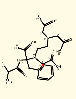 CC(Cl)C(=O)NC(Cc1ccccc1)(C(=O)O)N(CCN(CC(=O)O)CC(=O)O)CC(=O)O